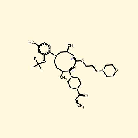 C=CC(=O)N1CCN(/C2=N/C(OCCCN3CCOCC3)=N\C(C)CN(c3ccc(O)cc3OC(F)(F)F)CCC2C)CC1